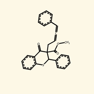 COC(=O)C1(CC=C=Cc2ccccc2)C(=O)c2ccccc2SC1c1ccccc1